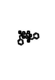 O=C(OS(=O)(=O)Cc1ccccc1)OS(=O)(=O)Cc1ccccc1